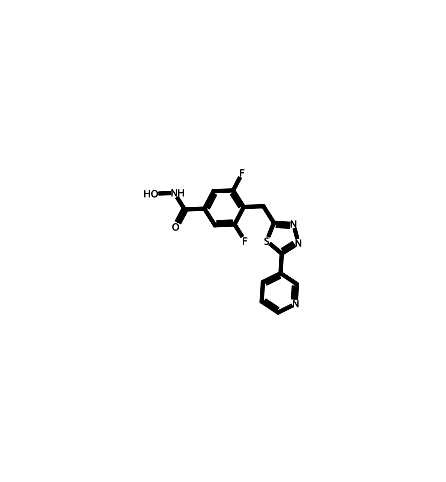 O=C(NO)c1cc(F)c(Cc2nnc(-c3cccnc3)s2)c(F)c1